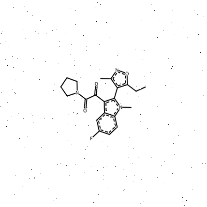 CCc1onc(C)c1-c1c(C(=O)C(=O)N2CCCC2)c2cc(F)ccc2n1C